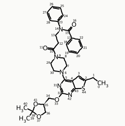 CCc1cc2c(N3CCN(C(=O)CCN(C(=O)c4ccccc4)c4ccccc4)CC3)nc(OC[C@H]3COC(C)(C)O3)nc2s1